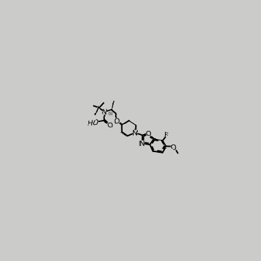 COc1ccc2nc(N3CCC(OC[C@H](C)N(C(=O)O)C(C)(C)C)CC3)oc2c1F